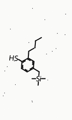 CCCCc1cc(C[Si](C)(C)C)ccc1S